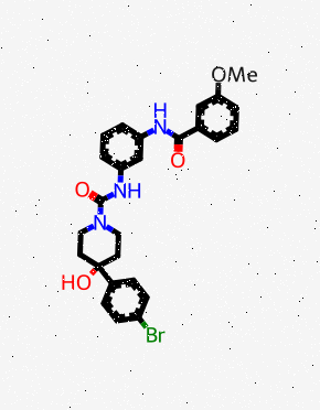 COc1cccc(C(=O)Nc2cccc(NC(=O)N3CCC(O)(c4ccc(Br)cc4)CC3)c2)c1